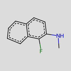 CNc1ccc2ccccc2c1F